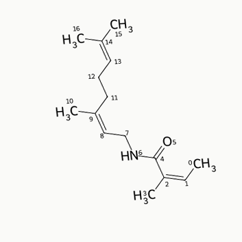 CC=C(C)C(=O)NCC=C(C)CCC=C(C)C